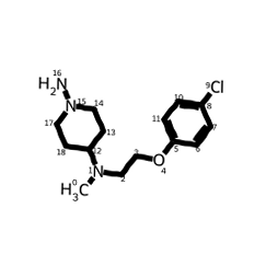 CN(CCOc1ccc(Cl)cc1)C1CCN(N)CC1